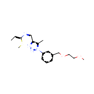 CC=C(/N=C\c1nnn(-c2cccc(COCCOC)c2)c1C)SC